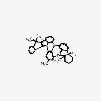 Cc1cc2c3c(c1)-n1c4c(c5cccc(c51)B3c1cccc3c1N2C1(C)CCCCC31C)C(C)(C)c1ccccc1-4